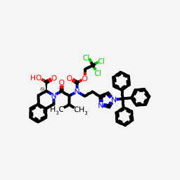 CC(C)C(C(=O)N1Cc2ccccc2C[C@H]1C(=O)O)N(CCc1cn(C(c2ccccc2)(c2ccccc2)c2ccccc2)cn1)C(=O)OCC(Cl)(Cl)Cl